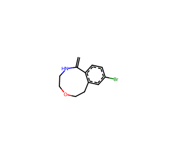 C=C1NCCOCCc2cc(Br)ccc21